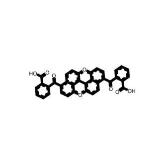 O=C(O)c1ccccc1C(=O)c1ccc2oc3ccc4c(C(=O)c5ccccc5C(=O)O)ccc5oc6ccc1c2c6-c3c54